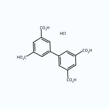 Cl.O=C(O)c1cc(C(=O)O)cc(-c2cc(C(=O)O)cc(C(=O)O)c2)c1